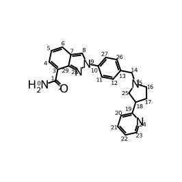 NC(=O)c1cccc2cn(-c3ccc(CN4CCC(c5ccccn5)C4)cc3)nc12